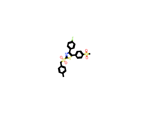 Cc1ccc(CS(=O)(=O)c2nc(-c3ccc(F)cc3)c(-c3ccc(S(C)(=O)=O)cc3)s2)cc1